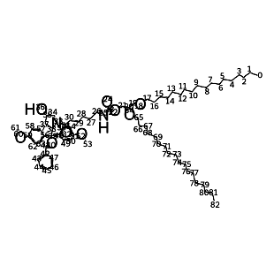 CCCCCCCCCCCCCCCCCCOCC(COC(=O)NCCCCCC(=O)N1CC(O)CC1C(OCc1ccccc1)(c1ccc(OC)cc1)c1ccc(OC)cc1)OCCCCCCCCCCCCCCCCCC